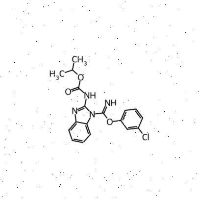 CC(C)OC(=O)Nc1nc2ccccc2n1C(=N)Oc1cccc(Cl)c1